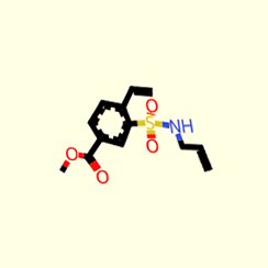 C=CCNS(=O)(=O)c1cc(C(=O)OC)ccc1C=C